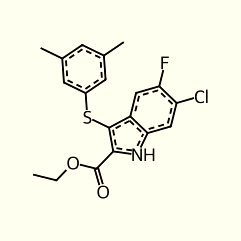 CCOC(=O)c1[nH]c2cc(Cl)c(F)cc2c1Sc1cc(C)cc(C)c1